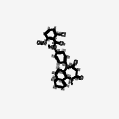 COc1cccc(Cl)c1C(=O)Nc1ccc(N2C(=O)CC(=O)Nc3c2ccc2ccccc32)cc1